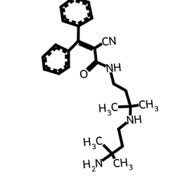 CC(C)(N)CCNC(C)(C)CCNC(=O)C(C#N)=C(c1ccccc1)c1ccccc1